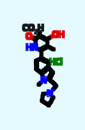 Cc1c(-c2ccc3c(c2)cc(CN2CCCC2)n3C)[nH]c(=O)c(C(=O)O)c1O.Cl